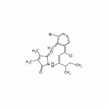 C=c1c(Br)ccc/c1=C(Cl)/C=C(/NN1C(=O)C(C)=C(C)C1=O)C(C)CC